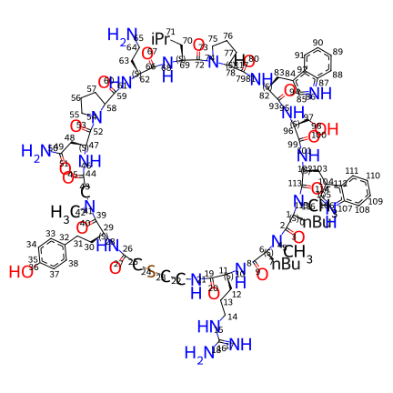 CCCC[C@H]1C(=O)N(C)[C@@H](CCCC)C(=O)N[C@@H](CCCNC(=N)N)C(=O)NCCSCC(=O)N[C@@H](CCc2ccc(O)cc2)C(=O)N(C)CC(=O)N[C@@H](CC(N)=O)C(=O)N2CCCC2C(=O)N[C@@H](CCN)C(=O)N[C@@H](CC(C)C)C(=O)N2CCC[C@H]2C(=O)N[C@@H](Cc2c[nH]c3ccccc23)C(=O)N[C@@H](CO)C(=O)N[C@@H](Cc2c[nH]c3ccccc23)C(=O)N1C